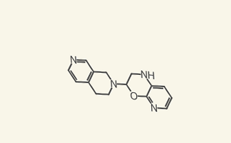 c1cnc2c(c1)NCC(N1CCc3ccncc3C1)O2